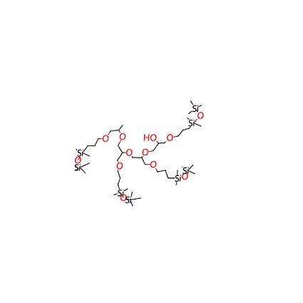 CC(COCCC[Si](C)(C)O[Si](C)(C)C)OCC(COCCC[Si](C)(C)O[Si](C)(C)C)OCC(COCCC[Si](C)(C)O[Si](C)(C)C)OCC(O)COCCC[Si](C)(C)O[Si](C)(C)C